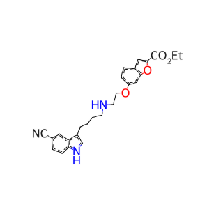 CCOC(=O)c1cc2ccc(OCCNCCCCc3c[nH]c4ccc(C#N)cc34)cc2o1